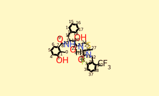 Cc1c(O)cccc1C(=O)N[C@@H](Cc1ccccc1)[C@H](O)C(=O)N1CSC2(C)[C@H]1C(=O)N2Cc1c(F)cccc1C(F)(F)F